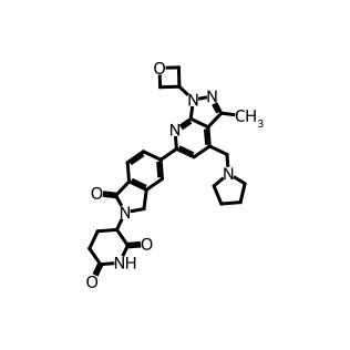 Cc1nn(C2COC2)c2nc(-c3ccc4c(c3)CN(C3CCC(=O)NC3=O)C4=O)cc(CN3CCCC3)c12